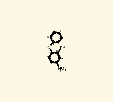 O=[N+]([O-])c1ccc(Sc2ccccc2)c(F)c1